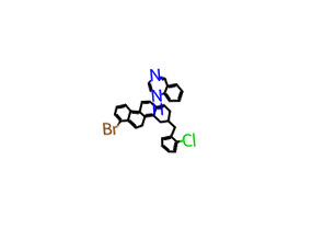 C1=CNc2ccccc2C=N1.Clc1ccccc1CC1CC=c2ccc3c(c2C1)CC=c1c(Br)cccc1=3